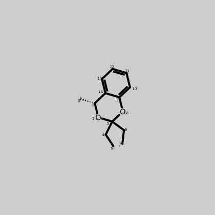 [CH2][C@H]1OC(CC)(CC)Oc2ccccc21